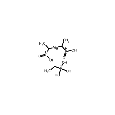 CC[PH](O)(O)O.C[CH]([Mg][CH](C)[PH](=O)O)[PH](=O)O